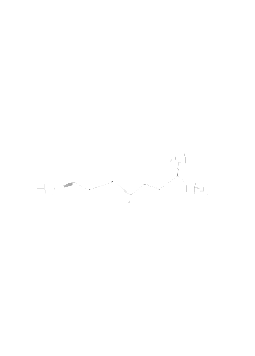 C=CCCCCCC(C)CCCC